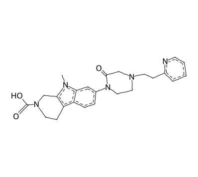 Cn1c2c(c3ccc(N4CCN(CCc5ccccn5)CC4=O)cc31)CCN(C(=O)O)C2